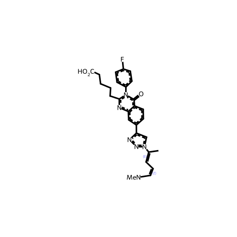 CN/C=C\C=C(/C)n1cc(-c2ccc3c(=O)n(-c4ccc(F)cc4)c(CCCCC(=O)O)nc3c2)nn1